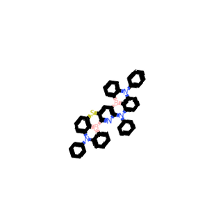 c1ccc(N2c3ccccc3B3c4nc5c(cc4Sc4cccc2c43)B2c3ccccc3N(c3ccccc3)c3cccc(c32)N5c2ccccc2)cc1